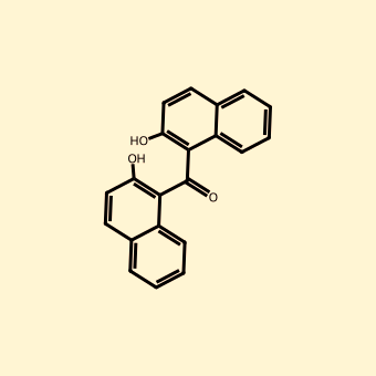 O=C(c1c(O)ccc2ccccc12)c1c(O)ccc2ccccc12